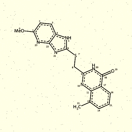 COc1ccc2[nH]c(SCc3nc4c(C)cccc4c(=O)[nH]3)nc2n1